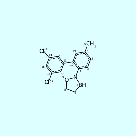 Cc1ccc(N2BCCO2)c(-c2cc(Cl)cc(Cl)c2)c1